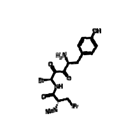 CC[C@H](NC(=O)[C@H](CC(C)C)NC)C(=O)C(=O)[C@@H](N)Cc1ccc(O)cc1